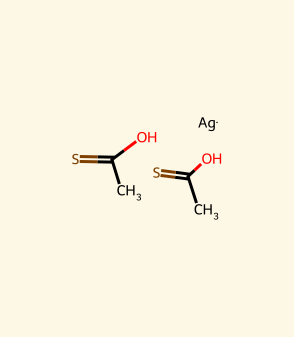 CC(O)=S.CC(O)=S.[Ag]